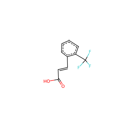 O=C(O)C=Cc1cc[c]cc1C(F)(F)F